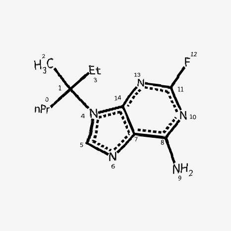 CCCC(C)(CC)n1cnc2c(N)nc(F)nc21